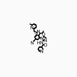 CCc1nn(Cc2cccc(C)n2)c2cc(C#N)cc(N3C(=O)CN=C3NC(=O)c3cccnc3)c12